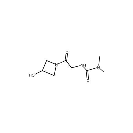 CN(C)C(=O)NCC(=O)N1CC(O)C1